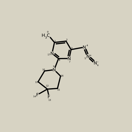 Cc1cc(N=[N+]=[N-])nc(N2CCC(F)(F)CC2)n1